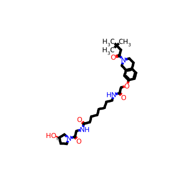 CC(C)(C)CC(=O)N1CCc2ccc(OCC(=O)NCCCCCCCC(=O)NCC(=O)N3CC[C@@H](O)C3)cc2C1